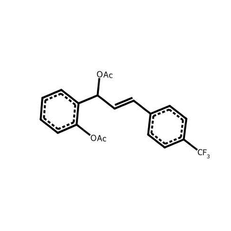 CC(=O)Oc1ccccc1C(C=Cc1ccc(C(F)(F)F)cc1)OC(C)=O